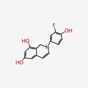 Oc1cc(O)c2c(c1)C=CN(c1ccc(O)c(F)c1)C2